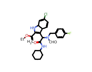 C=C(OCC)C1=C(C(C(=O)NC2CCCCC2)N(C=O)Cc2ccc(F)cc2)C2C=CC(Cl)=CC2N1